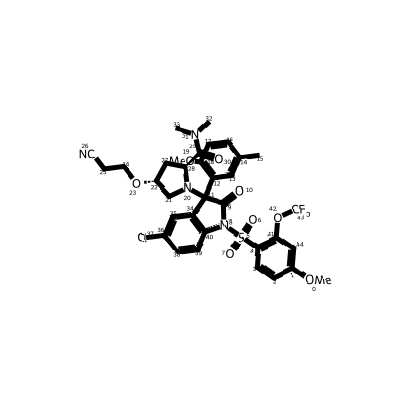 COc1ccc(S(=O)(=O)N2C(=O)C(c3cc(C)ccc3OC)(N3C[C@H](OCCC#N)C[C@H]3C(=O)N(C)C)c3cc(Cl)ccc32)c(OC(F)(F)F)c1